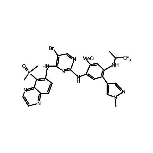 COc1cc(NC(C)C(F)(F)F)c(-c2cnn(C)c2)cc1Nc1ncc(Br)c(Nc2ccc3nccnc3c2P(C)(C)=O)n1